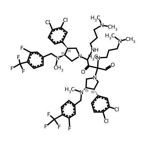 CN(C)CCCNC(C(=O)C(C=O)(N(C)CCCN(C)C)N1C[C@H](c2ccc(Cl)c(Cl)c2)[C@H](N(C)Cc2ccc(C(F)(F)F)c(F)c2)C1)N1C[C@H](c2ccc(Cl)c(Cl)c2)[C@H](N(C)Cc2ccc(C(F)(F)F)c(F)c2)C1